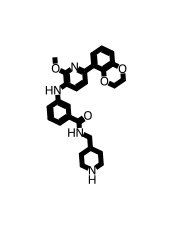 COc1nc(-c2cccc3c2OCCO3)ccc1Nc1cccc(C(=O)NCC2CCNCC2)c1